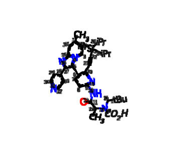 Cc1ccn2c(-c3ccc(NC(=O)C(C)N(CC(C)(C)C)C(=O)O)nc3C#C[Si](C(C)C)(C(C)C)C(C)C)c(-c3ccncc3)nc2c1